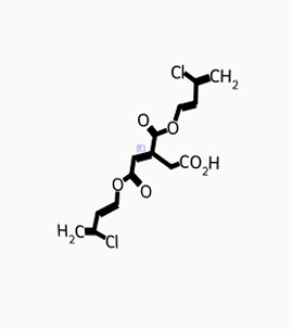 C=C(Cl)C=COC(=O)/C=C(\CC(=O)O)C(=O)OC=CC(=C)Cl